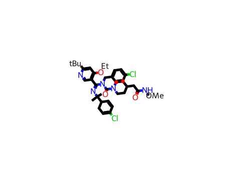 CCOc1cc(C(C)(C)C)ncc1/C(=N/C(C)(C)C1C=CC(Cl)=CC1)N(Cc1ccc(Cl)cc1)C(=O)N1CCC(CC(=O)NOC)CC1